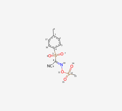 Cc1ccc(S(=O)(=O)/C(C#N)=N/OS(C)(=O)=O)cc1